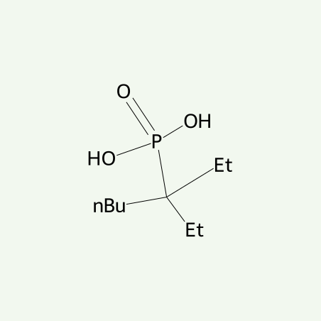 CCCCC(CC)(CC)P(=O)(O)O